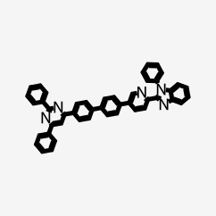 c1ccc(-c2cc(-c3ccc(-c4ccc(-c5ccc(-c6nc7ccccc7n6-c6ccccc6)nc5)cc4)cc3)nc(-c3ccccc3)n2)cc1